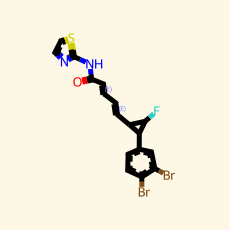 O=C(/C=C/C=C/C1C(F)C1c1ccc(Br)c(Br)c1)Nc1nccs1